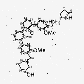 C=C1CC[C@@H](CNCc2ncc(-c3cccc(-c4cccc(-c5cnc(CN6CCC[C@@H](O)C6)c(OC)n5)c4C)c3Cl)nc2OC)N1